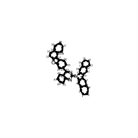 c1ccc2cc3c(cc2c1)c1cc2ccccc2cc1n3-c1nc(-c2ccc3c(c2)oc2ccc4ccccc4c23)c2ccccc2n1